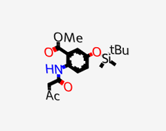 COC(=O)c1cc(O[Si](C)(C)C(C)(C)C)ccc1NC(=O)CC(C)=O